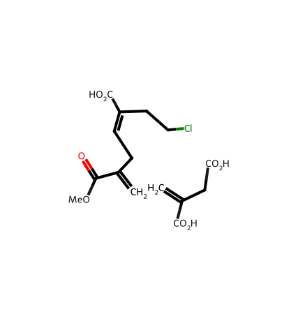 C=C(CC(=O)O)C(=O)O.C=C(CC=C(CCCl)C(=O)O)C(=O)OC